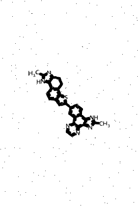 Cc1nc2c([nH]1)-c1ccc3cc(-c4ccc5c(c4)c4nccnc4c4nc(C)[nH]c54)sc3c1CC2